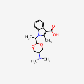 Cc1c(C(=O)O)c2ccccc2n1[C@H](C)C1OCC(N(C)C)CO1